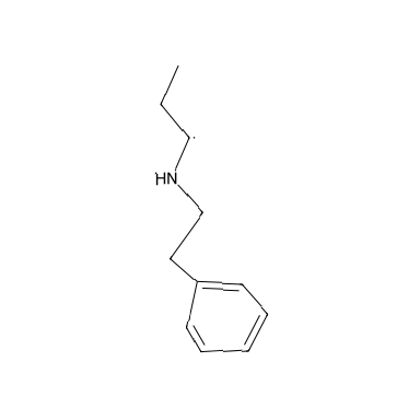 CC[CH]NCCc1ccccc1